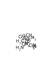 Cc1nc(C(C(C)C)N(CCCN)C(=O)c2ccc3snnc3c2)n(Cc2ccccc2)c(=O)c1C